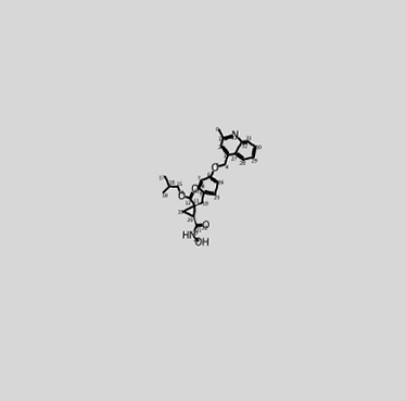 Cc1cc(COc2ccc(C[C@]3(C(=O)OCC(C)C)C[C@@H]3C(=O)NO)cc2)c2ccccc2n1